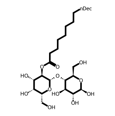 CCCCCCCCCCCCCCCCCC(=O)O[C@H]1[C@H](O[C@H]2[C@H](O)[C@@H](O)[C@H](O)O[C@@H]2CO)O[C@H](CO)[C@H](O)[C@@H]1O